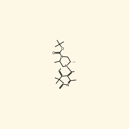 C=C\N=C(C)/C(C(=C\C)/C(C)(C)C)=C(\C)N1CC(C)N(C(=O)OC(C)(C)C)C[C@@H]1C